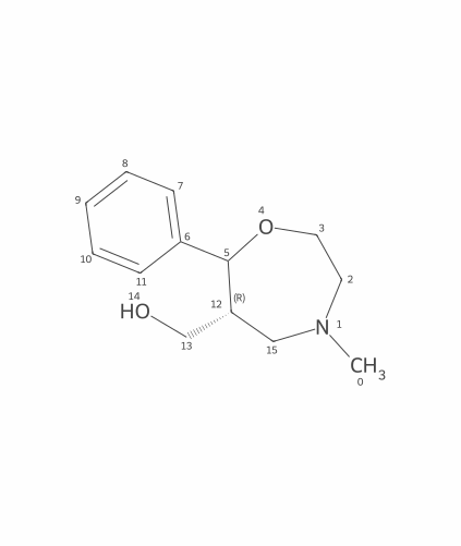 CN1CCOC(c2ccccc2)[C@@H](CO)C1